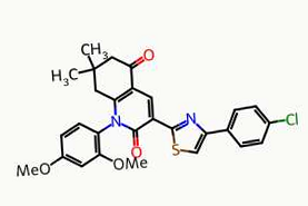 COc1ccc(-n2c3c(cc(-c4nc(-c5ccc(Cl)cc5)cs4)c2=O)C(=O)CC(C)(C)C3)c(OC)c1